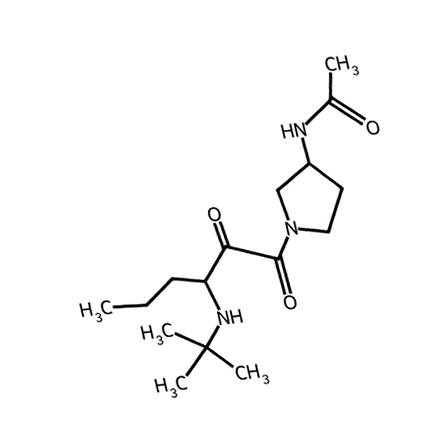 CCCC(NC(C)(C)C)C(=O)C(=O)N1CCC(NC(C)=O)C1